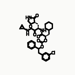 O=C(OC(Cc1cccc(Cl)c1)c1ccccc1)O[C@@H](CC1CCCCC1)C(=O)N[C@@H](C[C@@H]1CCNC1=O)C(=O)C(=O)NC1CC1